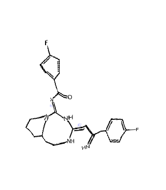 N=C(/C=C1\NCC2CCCN2/C(=N/C(=O)c2ccc(F)cc2)N1)c1ccc(F)cc1